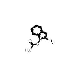 CC(=O)On1c(C)cc2ccccc21